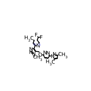 C=C/C=C(\N=C/CC(F)F)c1nnn(C)c1COc1ccc(-n2nc(C)cc2C)nn1